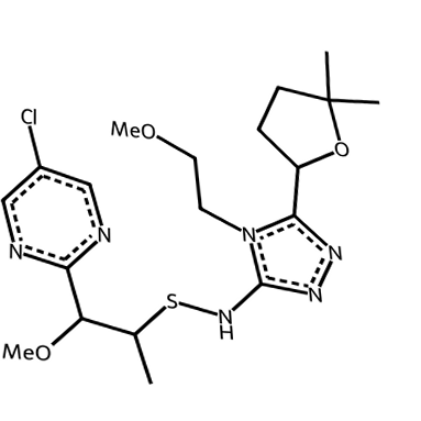 COCCn1c(NSC(C)C(OC)c2ncc(Cl)cn2)nnc1C1CCC(C)(C)O1